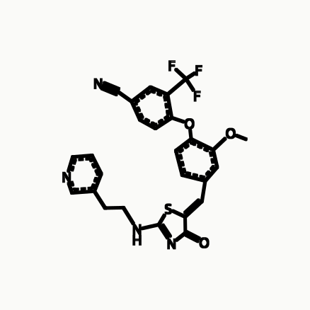 COc1cc(/C=C2\SC(NCCc3cccnc3)=NC2=O)ccc1Oc1ccc(C#N)cc1C(F)(F)F